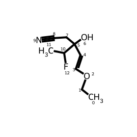 CCO/C=C/C(O)(CC#N)C(C)F